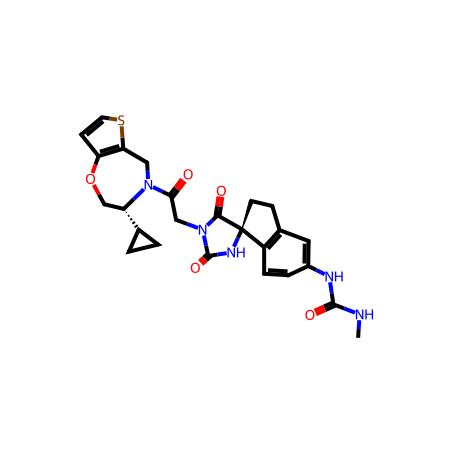 CNC(=O)Nc1ccc2c(c1)CC[C@]21NC(=O)N(CC(=O)N2Cc3sccc3OC[C@H]2C2CC2)C1=O